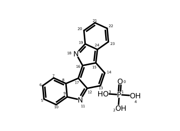 O=P(O)(O)O.c1ccc2c(c1)N=c1ccc3c(c1-2)N=c1ccccc1=3